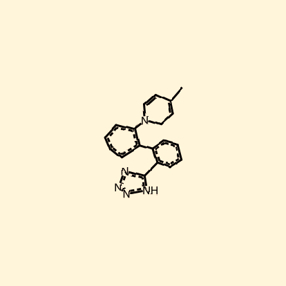 CC1=CCN(c2ccccc2-c2ccccc2-c2nnn[nH]2)C=C1